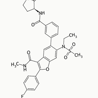 CCN(c1cc2oc(-c3ccc(F)cc3)c(C(=O)NC)c2cc1-c1cccc(C(=O)N[C@H]2CCNC2=O)c1)S(C)(=O)=O